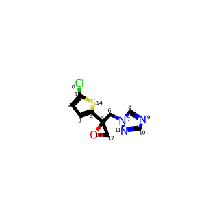 Clc1ccc(C2(Cn3cncn3)CO2)s1